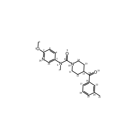 COc1ccc(N(C)C(=O)N2CCC(C(=O)c3cccc(C)c3)CC2)cn1